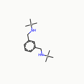 C[Si](C)(C)NCc1cccc(CN[Si](C)(C)C)c1